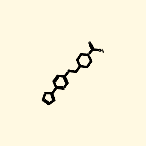 CC(=O)N1CCC(COc2ccc(-c3ccns3)nc2)CC1